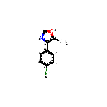 [CH2]c1ocnc1-c1ccc(Br)cc1